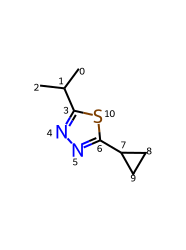 CC(C)c1nnc(C2CC2)s1